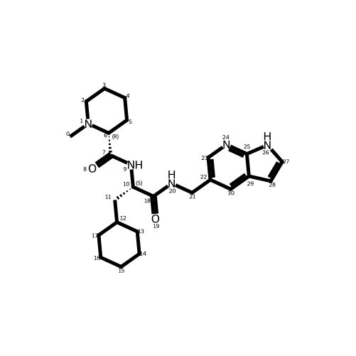 CN1CCCC[C@@H]1C(=O)N[C@@H](CC1CCCCC1)C(=O)NCc1cnc2[nH]ccc2c1